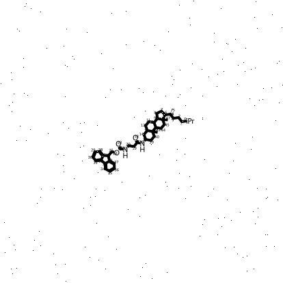 CC(C)CCC[C@@H](C)C1CCC2C3CCC4CC(NC(=O)CCNC(=O)OCC5c6ccccc6-c6ccccc65)CCC4(C)C3CCC21C